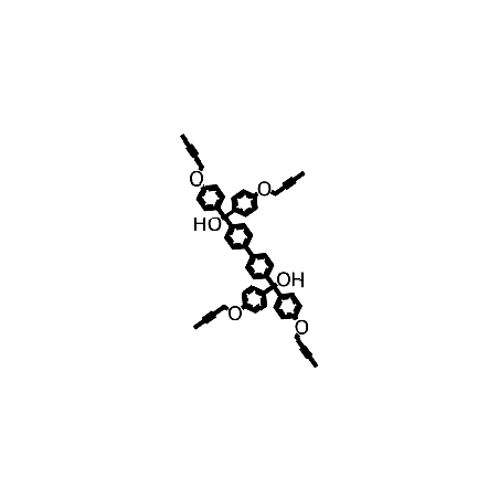 CC#CCOc1ccc(C(O)(c2ccc(OCC#CC)cc2)c2ccc(-c3ccc(C(O)(c4ccc(OCC#CC)cc4)c4ccc(OCC#CC)cc4)cc3)cc2)cc1